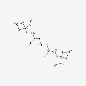 CCC1(COC(I)COCC(I)OCC2(CC)COC2)COC1